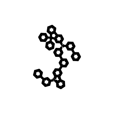 c1ccc(-c2cccc(N(c3cccc(-c4cccc(-c5ccc6c(c5)c5ccccc5n6-c5cccc(-c6ccccc6)c5)c4)c3)c3ccc4c(c3)C(c3ccccc3)(c3ccccc3)c3ccccc3-4)c2)cc1